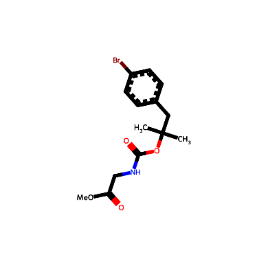 COC(=O)CNC(=O)OC(C)(C)Cc1ccc(Br)cc1